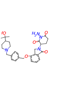 CC(C)(O)C1CCN(Cc2ccc(COc3cccc4c3CN(C3CCC(=O)N(N)C3=O)C4=O)cc2)CC1